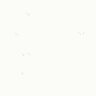 CS(=O)(=O)N1CCc2c(c(-c3ccc(Cl)c(C#Cc4ccc5c(c4)CNCC5)c3)nn2CCCN2CCC(C(N)=O)CC2)C1